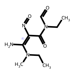 CCN(C=O)C(=O)/C(N=O)=C(/N)N(C)CC